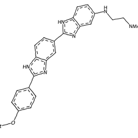 CCOc1ccc(-c2nc3cc(-c4nc5cc(NCCNC)ccc5[nH]4)ccc3[nH]2)cc1